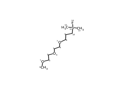 COCCOCCOCCCS(C)(C)F